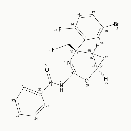 O=C(NC1=N[C@](CF)(c2cc(Br)ccc2F)[C@H]2C[C@H]2O1)c1ccccc1